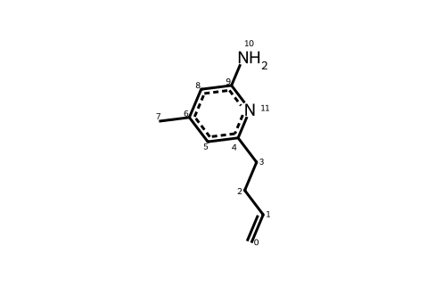 C=CCCc1cc(C)cc(N)n1